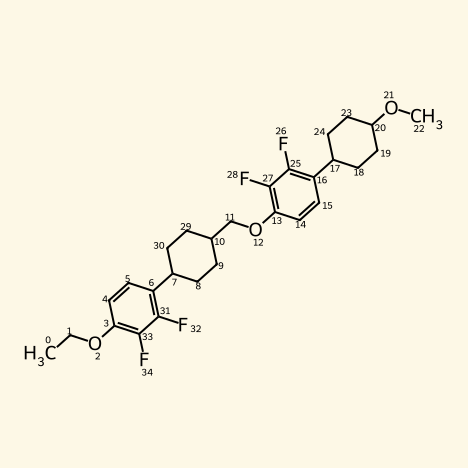 CCOc1ccc(C2CCC(COc3ccc(C4CCC(OC)CC4)c(F)c3F)CC2)c(F)c1F